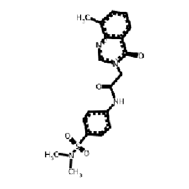 Cc1cccc2c(=O)n(CC(=O)Nc3ccc(S(=O)(=O)N(C)C)cc3)cnc12